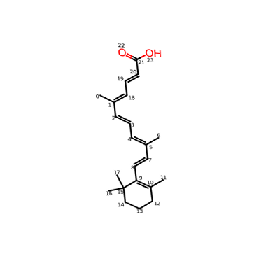 CC(C=CC=C(C)C=CC1=C(C)CCCC1(C)C)=CC=CC(=O)O